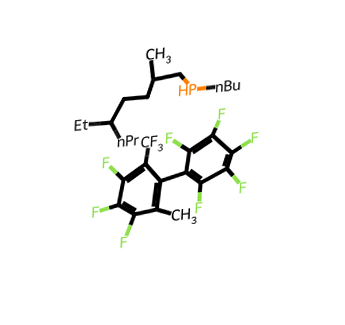 CCCCPCC(C)CCC(CC)CCC.Cc1c(F)c(F)c(F)c(C(F)(F)F)c1-c1c(F)c(F)c(F)c(F)c1F